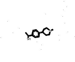 CC(S)c1ccc(C2CCN(C)CC2)cc1